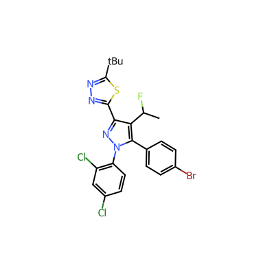 CC(F)c1c(-c2nnc(C(C)(C)C)s2)nn(-c2ccc(Cl)cc2Cl)c1-c1ccc(Br)cc1